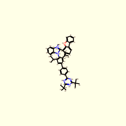 Cc1ccc2c(oc3ccccc32)c1-c1n(-c2c(C(C)C)cc(-c3ccc(-c4nc(C(C)(C)C)nc(C(C)(C)C)n4)cc3)cc2C(C)C)c2ccccc2[n+]1C